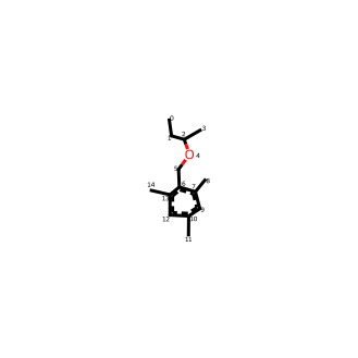 CCC(C)OCc1c(C)cc(C)cc1C